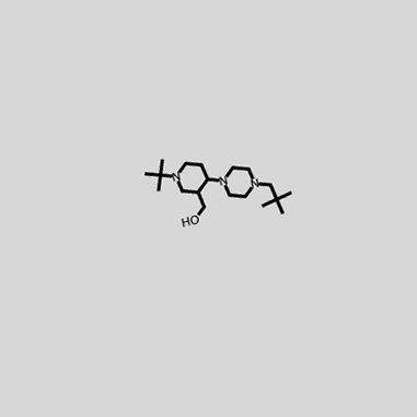 CC(C)(C)CN1CCN(C2CCN(C(C)(C)C)CC2CO)CC1